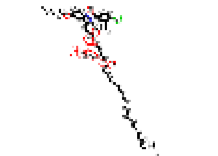 CCCCCCCCCCCCCCCCCC(=O)OCC(O)COC(=O)Cc1c(C)n(C(=O)c2ccc(Cl)cc2)c2ccc(OC)cc12